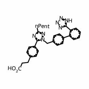 CCCCCc1nc(-c2ccc(CCC(=O)O)cc2)n(Cc2ccc(-c3ccccc3-c3nnn[nH]3)cc2)n1